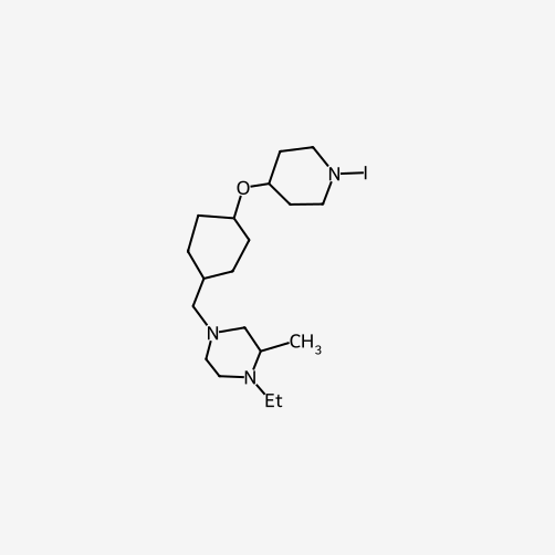 CCN1CCN(CC2CCC(OC3CCN(I)CC3)CC2)CC1C